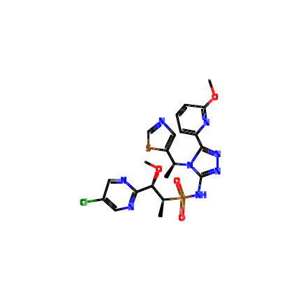 COc1cccc(-c2nnc(NS(=O)(=O)[C@@H](C)[C@H](OC)c3ncc(Cl)cn3)n2[C@@H](C)c2cncs2)n1